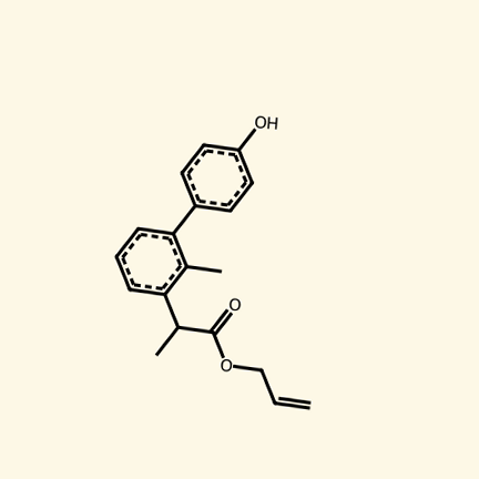 C=CCOC(=O)C(C)c1cccc(-c2ccc(O)cc2)c1C